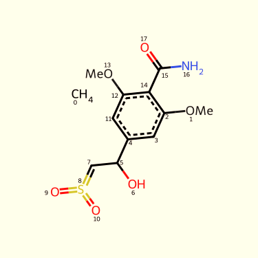 C.COc1cc(C(O)C=S(=O)=O)cc(OC)c1C(N)=O